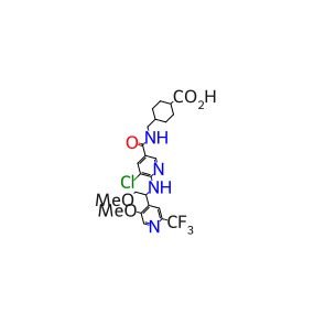 COCC(Nc1ncc(C(=O)NCC2CCC(C(=O)O)CC2)cc1Cl)c1cc(C(F)(F)F)ncc1OC